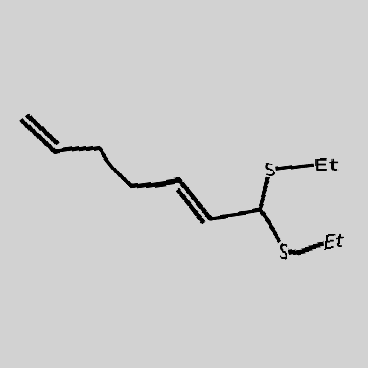 C=CCC/C=C/C(SCC)SCC